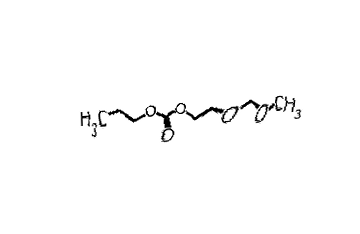 CCCOC(=O)OCCOCOC